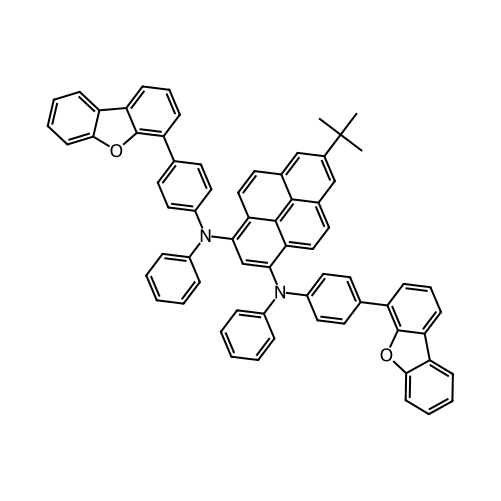 CC(C)(C)c1cc2ccc3c(N(c4ccccc4)c4ccc(-c5cccc6c5oc5ccccc56)cc4)cc(N(c4ccccc4)c4ccc(-c5cccc6c5oc5ccccc56)cc4)c4ccc(c1)c2c34